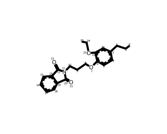 CCCc1ccc(OCCCN2C(=O)c3ccccc3C2=O)c(OCC)c1